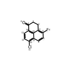 O=C1CCc2c(F)ccc3c(Cl)ccc1c23